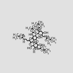 CC(C)(C)OC(=O)NCC[C@H](O)C(=O)NC1CC(NC(=O)OC(C)(C)C)C(OC2OC(CNC(=O)OC(C)(C)C)C(O)CC2NC(=O)OC(C)(C)C)C(O)C1OC1OC(CO)C(O)C(NC(=O)OC(C)(C)C)C1O